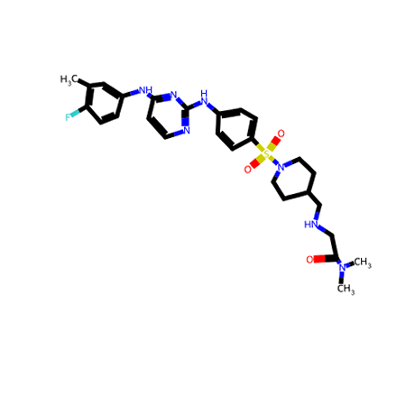 Cc1cc(Nc2ccnc(Nc3ccc(S(=O)(=O)N4CCC(CNCC(=O)N(C)C)CC4)cc3)n2)ccc1F